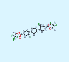 C[C@H](OC(=O)c1ccc(-c2ccc(-c3ccc(C(=O)O[C@@H](C)C(F)(F)F)cc3F)cc2)c(F)c1)C(F)(F)F